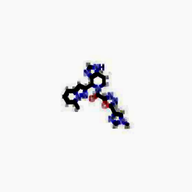 Cc1cccc2cc(C3c4nc[nH]c4CCN3C(=O)c3nnc(-c4cn(C)cn4)o3)nn12